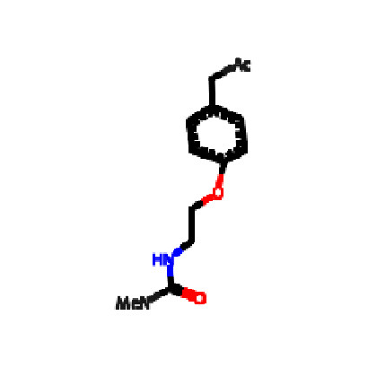 CNC(=O)NCCOc1ccc(CC(C)=O)cc1